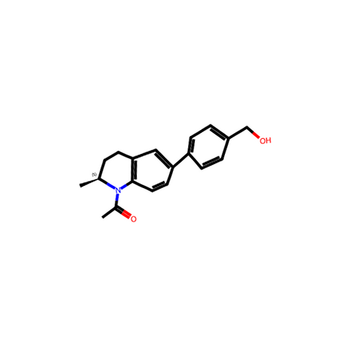 CC(=O)N1c2ccc(-c3ccc(CO)cc3)cc2CC[C@@H]1C